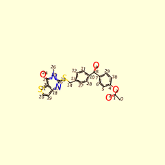 CC(=O)Oc1ccc(C(=O)c2ccc(CSc3nc4ccsc4c(=O)n3C)cc2)cc1